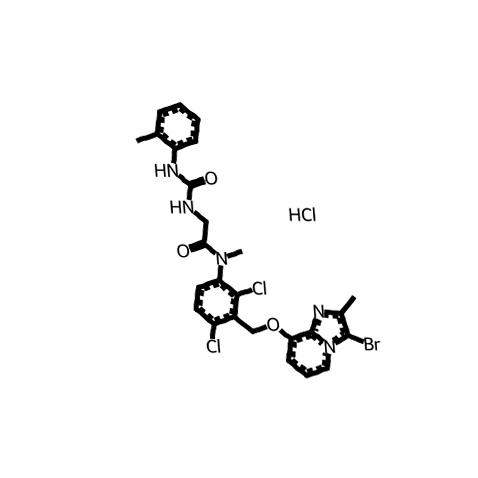 Cc1ccccc1NC(=O)NCC(=O)N(C)c1ccc(Cl)c(COc2cccn3c(Br)c(C)nc23)c1Cl.Cl